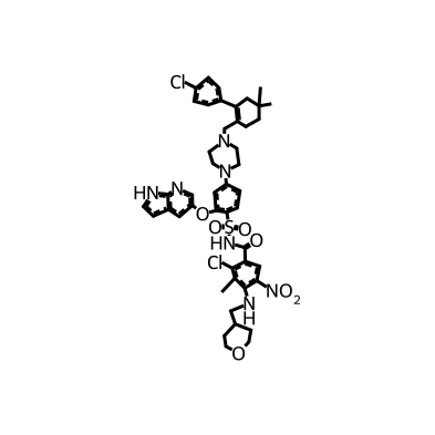 Cc1c(Cl)c(C(=O)NS(=O)(=O)c2ccc(N3CCN(CC4=C(c5ccc(Cl)cc5)CC(C)(C)CC4)CC3)cc2Oc2cnc3[nH]ccc3c2)cc([N+](=O)[O-])c1NCC1CCOCC1